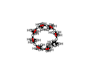 OCC1OC2OC3[C@H](O)C(O)C(OC4[C@H](O)C(O)C(OC5[C@H](O)C(O)C(OC6[C@H](O)C(O)C(OC7[C@H](O)C(O)C(OC8[C@H](O)C(O)C(OC9[C@H](O)C(O)C(OC1[C@H](O)C2O)O[C@@H]9CO)O[C@@H]8CO)O[C@@H]7CO)O[C@@H]6CO)O[C@@H]5CO)O[C@@H]4CO)O[C@@H]3CO